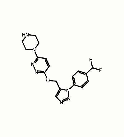 FC(F)c1ccc(-n2nncc2COc2ccc(N3CCNCC3)nn2)cc1